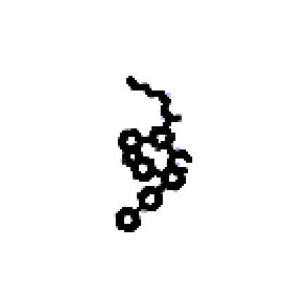 C=CCC/C=C\C=C(/C)c1nc(C(/C=C\C)=C/C)nc(-c2cccc3oc4ccc(-c5ccccc5C5=CC[C@H](c6ccccc6)C=C5)cc4c23)n1